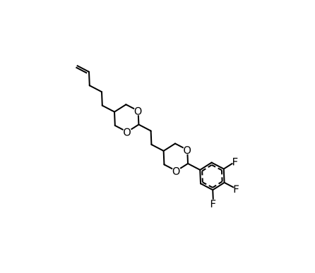 C=CCCCC1COC(CCC2COC(c3cc(F)c(F)c(F)c3)OC2)OC1